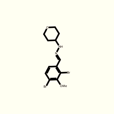 COc1c(Br)ccc(/C=N/NC2CCOCC2)c1Br